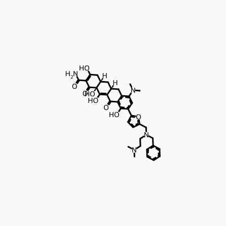 CN(C)CCN(Cc1ccccc1)Cc1ccc(-c2cc(N(C)C)c3c(c2O)C(=O)C2=C(O)[C@]4(O)C(=O)C(C(N)=O)=C(O)C[C@@H]4C[C@@H]2C3)o1